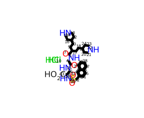 Cl.Cl.O=C(CNC(=O)C(CCC1CCNCC1)CCC1CCNCC1)NCC(NS(=O)(=O)Cc1ccc2ccccc2c1)C(=O)O